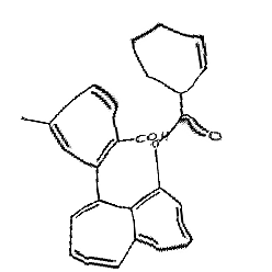 Cc1ccc(C(=O)O)c(-c2cccc3cccc(OC(=O)C4C=CCCC4)c23)c1